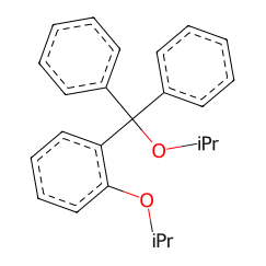 CC(C)Oc1ccccc1C(OC(C)C)(c1ccccc1)c1ccccc1